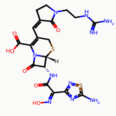 N=C(N)NCCN1CCC(=CC2=C(C(=O)O)N3C(=O)[C@@H](NC(=O)/C(=N\O)c4nsc(N)n4)[C@H]3SC2)C1=O